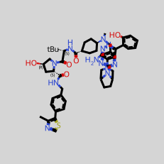 Cc1ncsc1-c1ccc(CNC(=O)[C@@H]2C[C@@H](O)CN2C(=O)[C@@H](NC(=O)[C@H]2CC[C@H](N(C)Cc3cnc(N4C5CCC4CN(c4cc(-c6ccccc6O)nnc4N)C5)nc3)CC2)C(C)(C)C)cc1